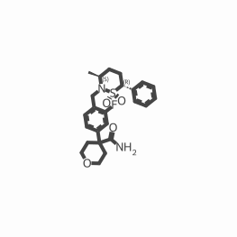 C[C@H]1CC[C@H](c2ccccc2)S(=O)(=O)N1Cc1ccc(C2(C(N)=O)CCOCC2)cc1F